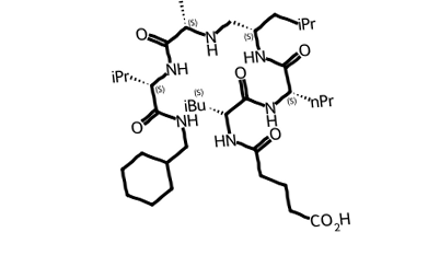 CCC[C@H](NC(=O)C(NC(=O)CCCC(=O)O)[C@@H](C)CC)C(=O)N[C@H](CN[C@@H](C)C(=O)N[C@H](C(=O)NCC1CCCCC1)C(C)C)CC(C)C